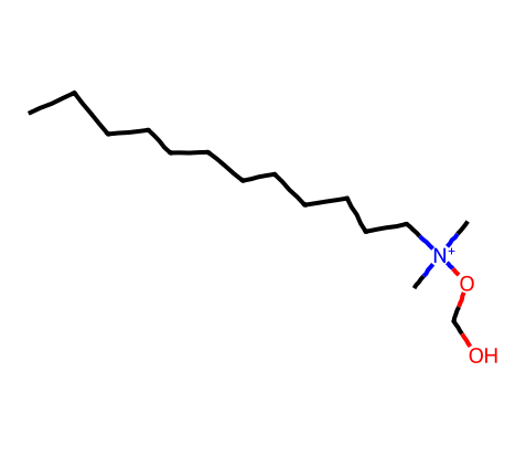 CCCCCCCCCCCC[N+](C)(C)OCO